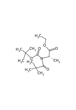 CCOC(=O)[C@H](C)N(C(=O)OC(C)(C)C)C(=O)C(C)(C)C